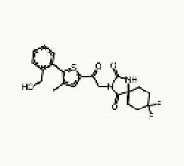 Cc1cc(C(=O)CN2C(=O)NC3(CCC(F)(F)CC3)C2=O)sc1-c1ccccc1CO